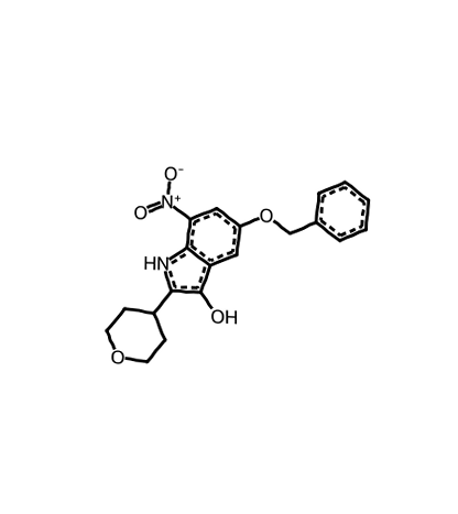 O=[N+]([O-])c1cc(OCc2ccccc2)cc2c(O)c(C3CCOCC3)[nH]c12